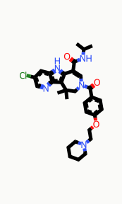 CC(C)NC(=O)C1=CN(C(=O)c2ccc(OCCN3CCCCC3)cc2)CC(C)(C)c2c1[nH]c1cc(Cl)cnc21